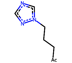 CC(=O)CCCn1cncn1